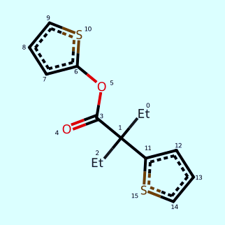 CCC(CC)(C(=O)Oc1cccs1)c1cccs1